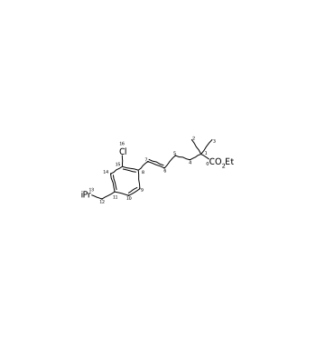 CCOC(=O)C(C)(C)CC/C=C/c1ccc(CC(C)C)cc1Cl